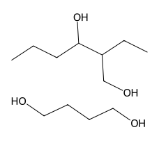 CCCC(O)C(CC)CO.OCCCCO